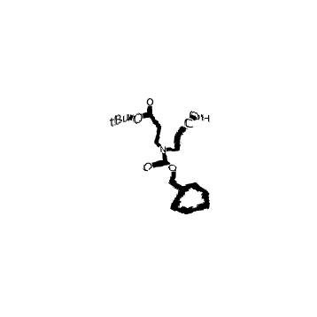 CC(C)(C)OC(=O)CCN(CCCO)C(=O)OCc1ccccc1